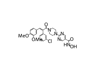 COc1ccc(C=C(C(=O)N2CCN(c3ncc(C(=O)NO)cn3)CC2)c2cccc(Cl)c2)cc1OC